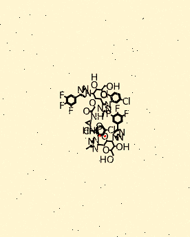 Cc1nc(C2OC(CO)C(O)C(n3cc(-c4cc(F)c(F)c(F)c4)nn3)C2OCC(=O)NC2CC2NC(=O)COC2C(c3nc(C)nn3-c3cc(Cl)ccc3Cl)OC(CO)C(O)C2n2cc(-c3cc(F)c(F)c(F)c3)nn2)n(-c2cc(Cl)ccc2Cl)n1